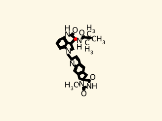 CN1C(=O)NC(=O)C12Cc1cc3ccc(CN4CC5(CNC(=O)C(C)(C)C)CC(=O)Nc6cccc4c65)nc3cc1C2